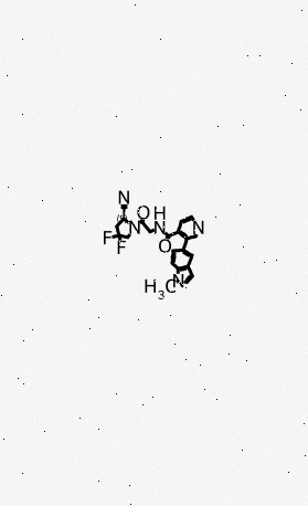 Cn1ccc2cc(-c3cnccc3C(=O)NCC(=O)N3CC(F)(F)C[C@H]3C#N)ccc21